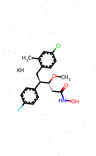 CO[C@H](CC(=O)NO)[C@H](Cc1ccc(Cl)cc1C)c1ccc(F)cc1.[KH]